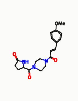 COc1ccc(/C=C/C(=O)N2CCN(C(=O)C3CCC(=O)N3)CC2)cc1